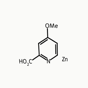 COc1ccnc(C(=O)O)c1.[Zn]